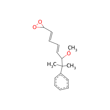 COC(C=CC=CC1OO1)C(C)(C)c1ccccc1